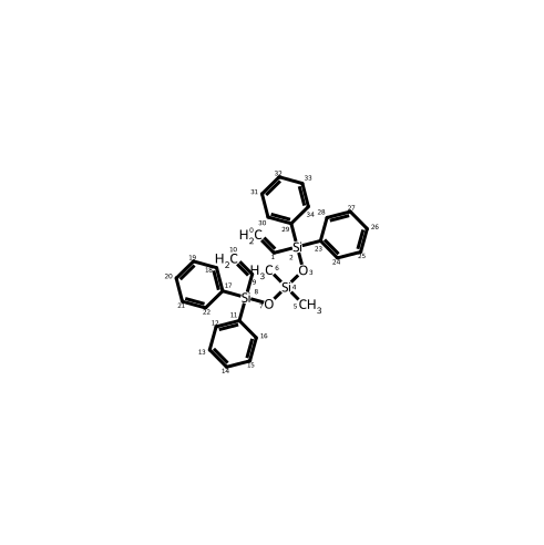 C=C[Si](O[Si](C)(C)O[Si](C=C)(c1ccccc1)c1ccccc1)(c1ccccc1)c1ccccc1